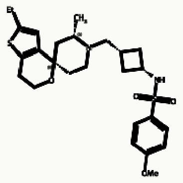 CCc1cc2c(s1)CCO[C@@]21CCN(C[C@H]2C[C@@H](NS(=O)(=O)c3ccc(OC)cc3)C2)[C@@H](C)C1